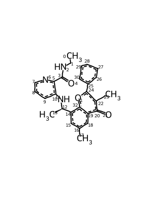 CCNC(=O)c1ncccc1N[C@H](C)c1cc(C)cc2c(=O)c(C)c(-c3ccccc3)oc12